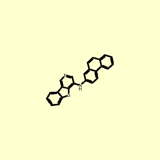 c1ccc2c(c1)ccc1cc(Nc3cncc4c3oc3ccccc34)ccc12